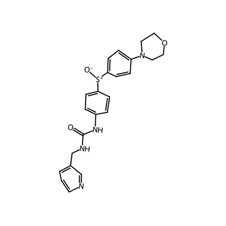 O=C(NCc1cccnc1)Nc1ccc([S+]([O-])c2ccc(N3CCOCC3)cc2)cc1